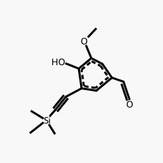 COc1cc(C=O)cc(C#C[Si](C)(C)C)c1O